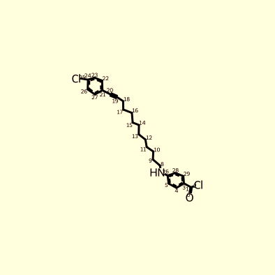 O=C(Cl)c1ccc(NCCCCCCCCCCCC#Cc2ccc(Cl)cc2)cc1